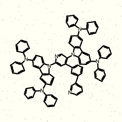 c1ccc(N(c2ccccc2)c2ccc3c(c2)c2cc(N(c4ccccc4)c4ccccc4)ccc2n3-c2cc(-c3cccc(-c4cccnc4)c3)c(-n3c4ccc(N(c5ccccc5)c5ccccc5)cc4c4cc(N(c5ccccc5)c5ccccc5)ccc43)cn2)cc1